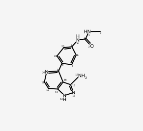 CNC(=O)Nc1ccc(-c2nccc3[nH]nc(N)c23)cc1